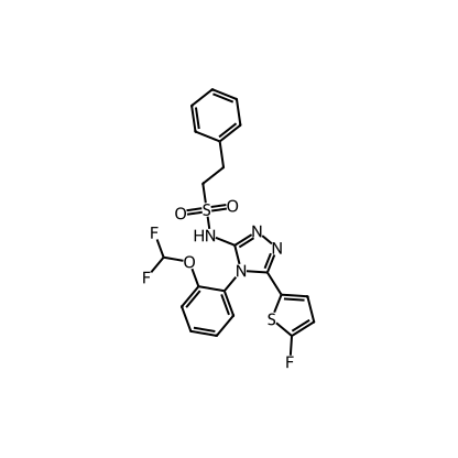 O=S(=O)(CCc1ccccc1)Nc1nnc(-c2ccc(F)s2)n1-c1ccccc1OC(F)F